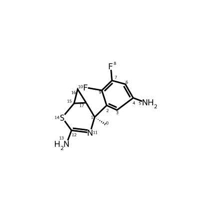 C[C@]1(c2cc(N)cc(F)c2F)N=C(N)SC2CC21